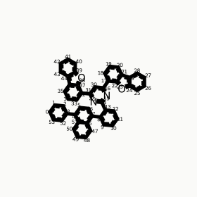 c1ccc(-c2ccc(-c3ccccc3-c3nc(-c4cccc5c4oc4ccccc45)cc(-c4cccc5c4oc4ccccc45)n3)c3ccccc23)cc1